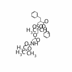 CC(C)(C)OC(=O)NCC(=O)OCC(C)(C)S(=O)(=O)CC(Cc1ccccc1)C(=O)OCc1ccccc1